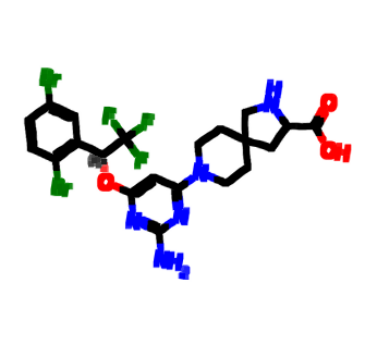 Nc1nc(O[C@H](c2cc(Br)ccc2Br)C(F)(F)F)cc(N2CCC3(CC2)CNC(C(=O)O)C3)n1